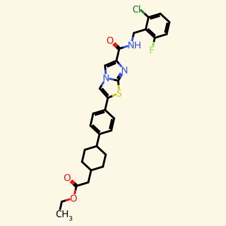 CCOC(=O)CC1CCC(c2ccc(-c3cn4cc(C(=O)NCc5c(F)cccc5Cl)nc4s3)cc2)CC1